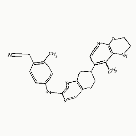 Cc1cc(Nc2ncc3c(n2)CN(c2cnc4c(c2C)NCCO4)CC3)ccc1CC#N